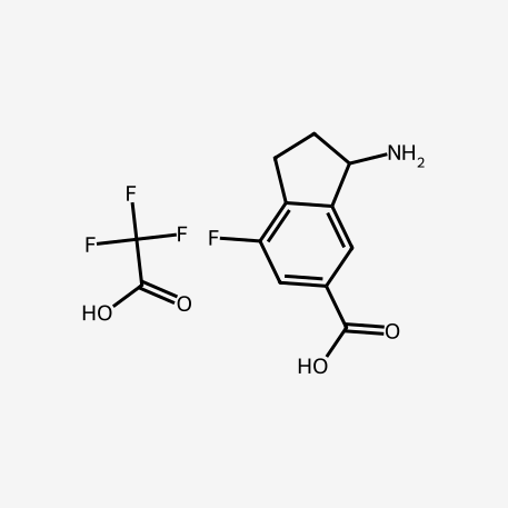 NC1CCc2c(F)cc(C(=O)O)cc21.O=C(O)C(F)(F)F